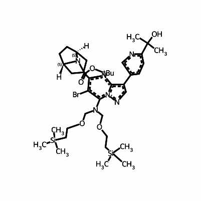 CC(C)(C)OC(=O)N1[C@H]2CC[C@H]1CC(c1nc3c(-c4ccc(C(C)(C)O)nc4)cnn3c(N(COCC[Si](C)(C)C)COCC[Si](C)(C)C)c1Br)C2